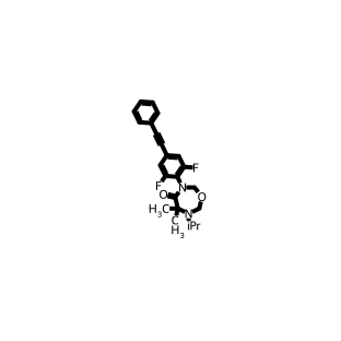 CC(C)N1COCN(c2c(F)cc(C#Cc3ccccc3)cc2F)C(=O)C1(C)C